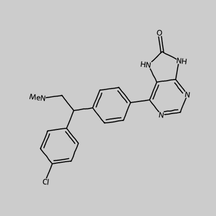 CNCC(c1ccc(Cl)cc1)c1ccc(-c2ncnc3[nH]c(=O)[nH]c23)cc1